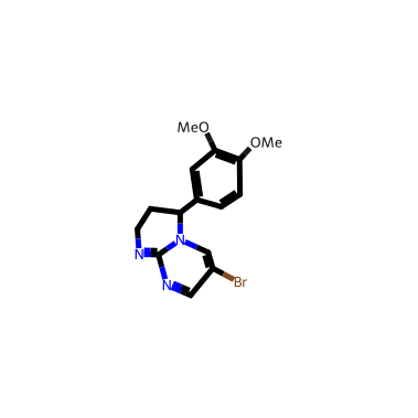 COc1ccc(C2CCN=C3N=CC(Br)=CN32)cc1OC